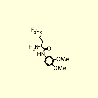 COc1ccc(NC(=O)[C@@H](N)CCSC(F)(F)F)cc1OC